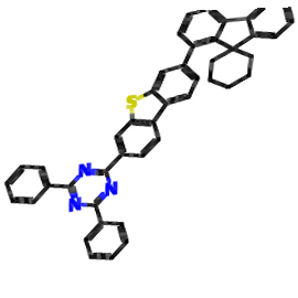 c1ccc(-c2nc(-c3ccccc3)nc(-c3ccc4c(c3)sc3cc(-c5cccc6c5C5(CCCCC5)c5ccccc5-6)ccc34)n2)cc1